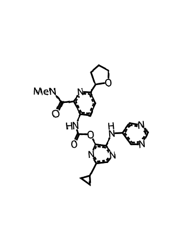 CNC(=O)c1nc(C2CCCO2)ccc1NC(=O)Oc1nc(C2CC2)cnc1Nc1cncnc1